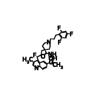 COc1ccc2ncc(C)c([C@H](F)CCC3(C(=O)NO)CCN(CCCc4c(F)cc(F)cc4F)CC3)c2c1